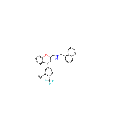 Cc1cc(C2C[C@H](CNCc3cccc4ccccc34)Oc3ccccc32)ccc1C(F)(F)F